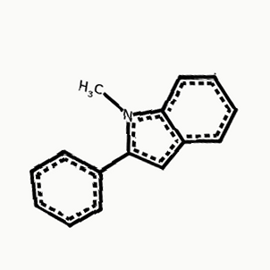 Cn1c(-c2ccccc2)cc2cc[c]cc21